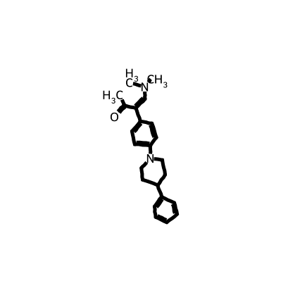 CC(=O)C(=CN(C)C)c1ccc(N2CCC(c3ccccc3)CC2)cc1